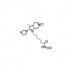 Cc1c(-n2ccnc2)n(CCCCCC(=O)NO)c2ccccc12.Cl